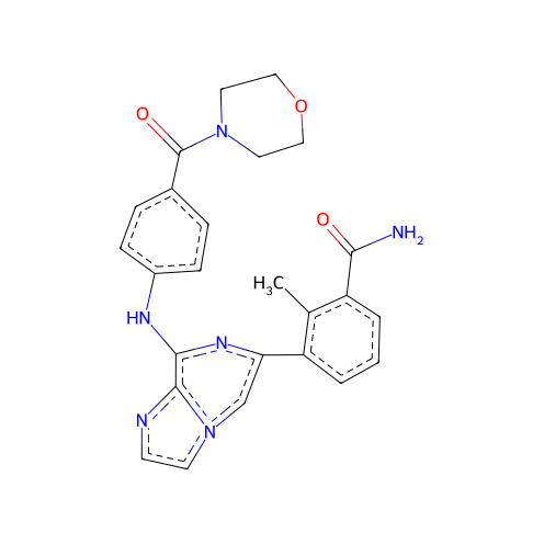 Cc1c(C(N)=O)cccc1-c1cn2ccnc2c(Nc2ccc(C(=O)N3CCOCC3)cc2)n1